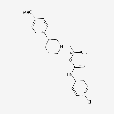 COc1ccc(C2CCCN(C[C@H](OC(=O)Nc3ccc(Cl)cc3)C(F)(F)F)C2)cc1